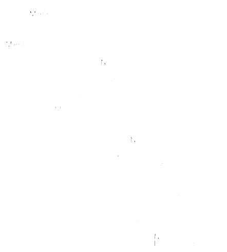 COc1cc2c(cc1OC)C(=O)C(CCN1CCC(c3c[nH]c4ccccc34)CC1)C=N2